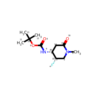 CN1C[C@H](F)[C@H](NC(=O)OC(C)(C)C)CC1=O